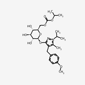 COc1ccc(Cc2c(O[C@@H]3O[C@H](COC(=O)OC(C)C)[C@@H](O)[C@H](O)[C@H]3O)nn(C(C)C)c2C)cc1